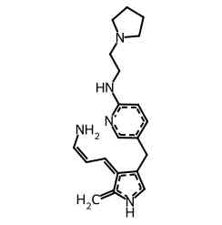 C=c1[nH]cc(Cc2ccc(NCCN3CCCC3)nc2)/c1=C/C=C\N